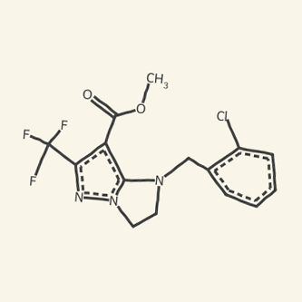 COC(=O)c1c(C(F)(F)F)nn2c1N(Cc1ccccc1Cl)CC2